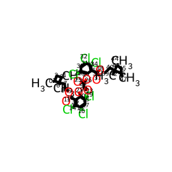 CC1CC(C)C1(C)CCOC(=O)c1c(Cl)c(Cl)cc(Cl)c1OC(=O)C(=O)Oc1c(Cl)cc(Cl)c(Cl)c1C(=O)OCCC1(C)C(C)CC1C